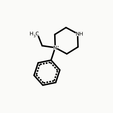 CC[N+]1(c2ccccc2)CCNCC1